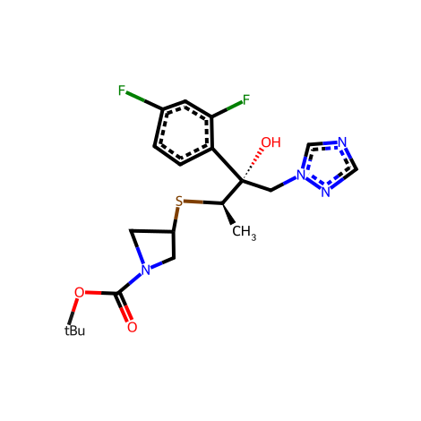 C[C@@H](SC1CN(C(=O)OC(C)(C)C)C1)[C@](O)(Cn1cncn1)c1ccc(F)cc1F